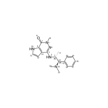 C[C@@H](Nc1nn(C)c(=O)c2[nH]ccc12)[C@@H](c1ccccc1)N(C)C